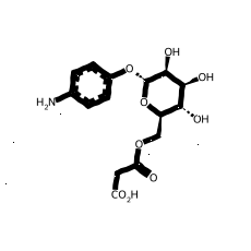 Nc1ccc(O[C@H]2O[C@H](COC(=O)CC(=O)O)[C@@H](O)[C@H](O)[C@@H]2O)cc1